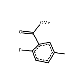 COC(=O)c1cc(C)ccc1F